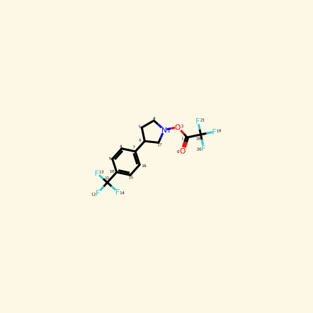 O=C(ON1CCC(c2ccc(C(F)(F)F)cc2)C1)C(F)(F)F